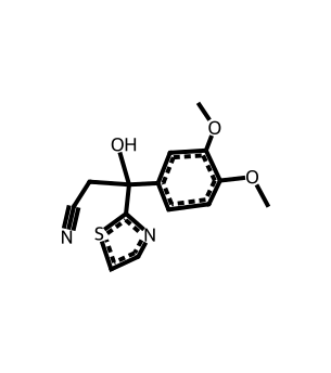 COc1ccc(C(O)(CC#N)c2nccs2)cc1OC